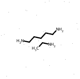 CCN.NCCCCCN